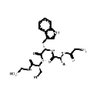 CC[C@H](C)[C@H](NC(=O)CN)C(=O)N[C@@H](Cc1c[nH]c2ccccc12)C(=O)N[C@@H](CC(C)C)C(=O)NCC(=O)O